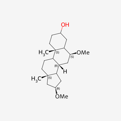 CO[C@@H]1CC2[C@H]3C[C@H](OC)C4CC(O)CC[C@@]4(C)C3CC[C@@]2(C)C1